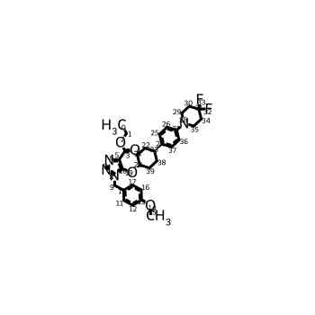 CCOC(=O)c1nnn(Cc2ccc(OC)cc2)c1O[C@H]1CC[C@@H](c2ccc(N3CCC(F)(F)CC3)cc2)CC1